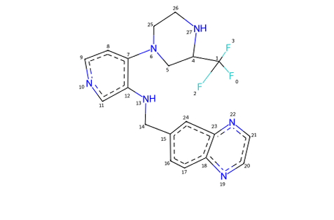 FC(F)(F)C1CN(c2ccncc2NCc2ccc3nccnc3c2)CCN1